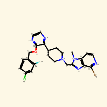 Cn1c(CN2CCC(c3nccnc3OCc3ccc(Cl)cc3F)CC2)nc2c(Br)nccc21